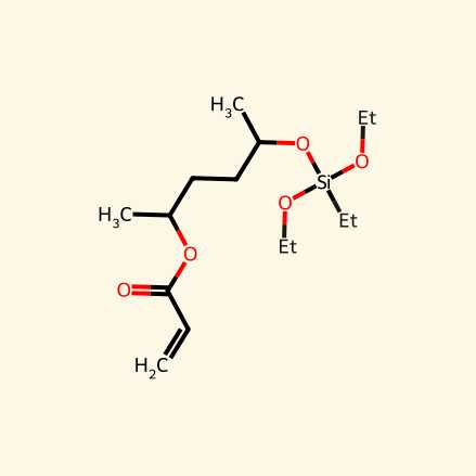 C=CC(=O)OC(C)CCC(C)O[Si](CC)(OCC)OCC